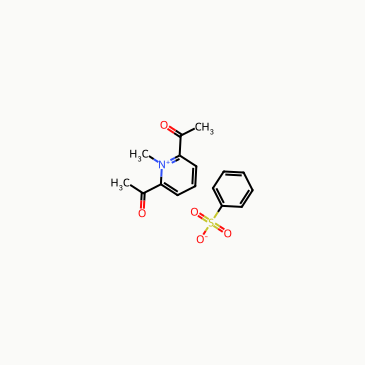 CC(=O)c1cccc(C(C)=O)[n+]1C.O=S(=O)([O-])c1ccccc1